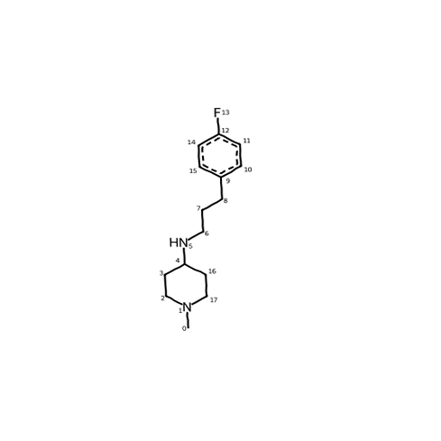 CN1CCC(NCCCc2ccc(F)cc2)CC1